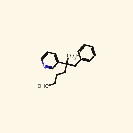 O=CCCCC(Cc1ccccc1)(C(=O)O)c1cccnc1